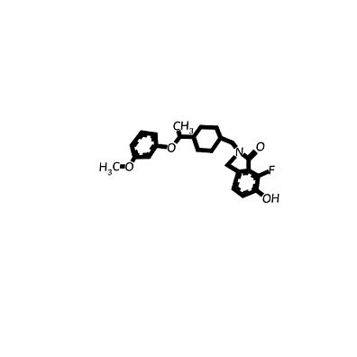 COc1cccc(OC(C)C2CCC(CN3Cc4ccc(O)c(F)c4C3=O)CC2)c1